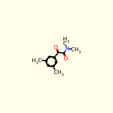 Cc1cc(C)cc(C(=O)C(=O)N(C)C)c1